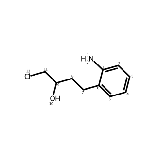 Nc1ccccc1CCC(O)CCl